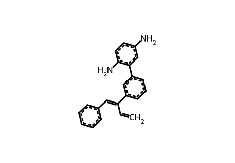 C=C/C(=C\c1ccccc1)c1cccc(-c2cc(N)ccc2N)c1